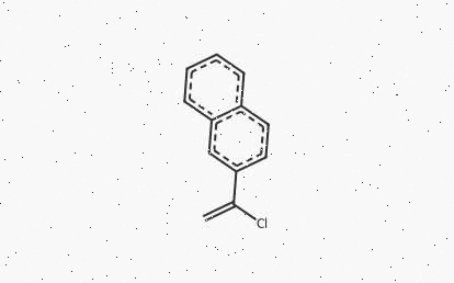 C=C(Cl)c1ccc2ccccc2c1